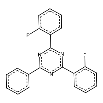 Fc1ccccc1-c1nc(-c2ccccc2)nc(-c2ccccc2F)n1